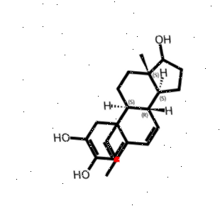 CC=CC12CC(O)=C(O)C=C1C=C[C@@H]1[C@@H]2CC[C@]2(C)C(O)CC[C@@H]12